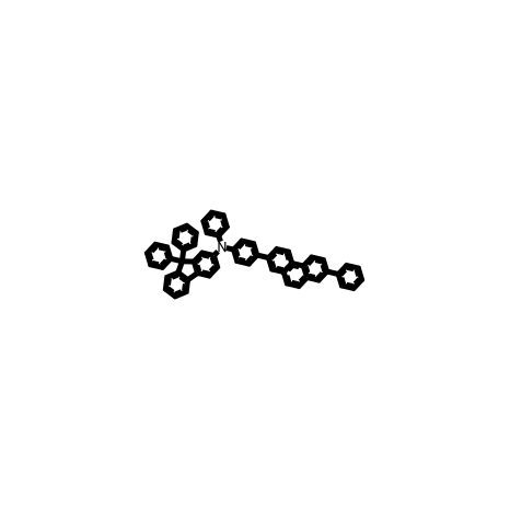 c1ccc(-c2ccc3c(ccc4cc(-c5ccc(N(c6ccccc6)c6ccc7c(c6)C(c6ccccc6)(c6ccccc6)c6ccccc6-7)cc5)ccc43)c2)cc1